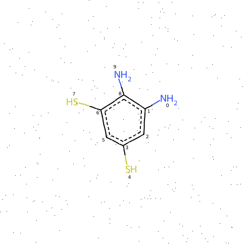 Nc1cc(S)cc(S)c1N